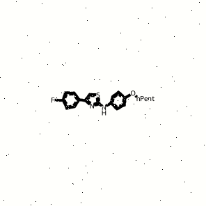 CCCCCOc1ccc(Nc2nc(-c3ccc(F)cc3)cs2)cc1